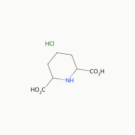 Cl.O=C(O)C1CCCC(C(=O)O)N1